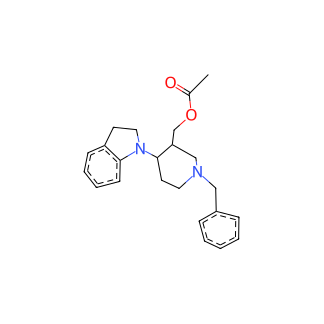 CC(=O)OCC1CN(Cc2ccccc2)CCC1N1CCc2ccccc21